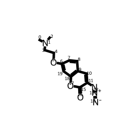 CN(C)CCOc1ccc2cc(N=[N+]=[N-])c(=O)oc2c1